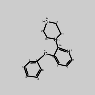 c1ccc(Oc2cccnc2N2CCNCC2)cc1